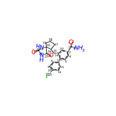 NC(=O)c1ccc(-c2ccc(F)cc2)c(CC2CCCC23NC(=O)NC3=O)c1